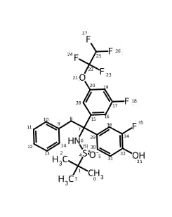 CC(C)(C)[S@@+]([O-])NC(Cc1ccccc1)(c1cc(F)cc(OC(F)(F)C(F)F)c1)c1ccc(O)c(F)c1